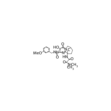 COc1cccc(CNC(=O)c2nc3n(c(=O)c2O)CC2CCC3(NC(=O)C(=O)N(C)C)CC2)c1